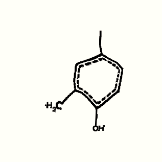 [CH2]c1cc(I)ccc1O